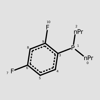 CCCP(CCC)c1ccc(F)cc1F